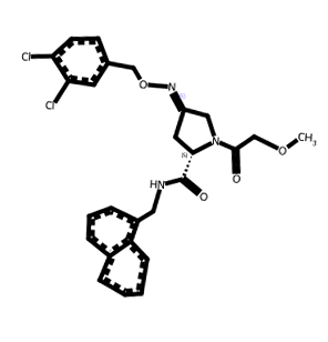 COCC(=O)N1C/C(=N/OCc2ccc(Cl)c(Cl)c2)C[C@H]1C(=O)NCc1cccc2ccccc12